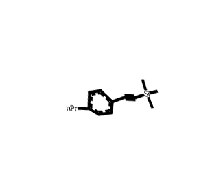 [CH2]CCc1ccc(C#C[Si](C)(C)C)cc1